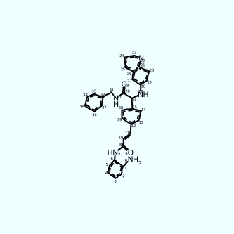 Nc1ccccc1NC(=O)C=Cc1ccc(C(Nc2ccc3ncccc3c2)C(=O)NCc2ccccc2)cc1